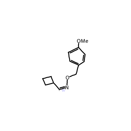 COc1ccc(CO/N=[C]\C2CCC2)cc1